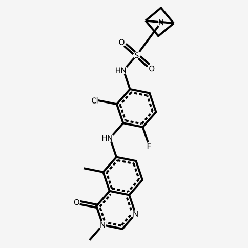 Cc1c(Nc2c(F)ccc(NS(=O)(=O)N3CC4CC3C4)c2Cl)ccc2ncn(C)c(=O)c12